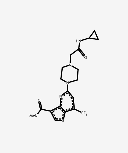 CNC(=O)c1csc2c(C(F)(F)F)cc(N3CCN(CC(=O)NC4CC4)CC3)nc12